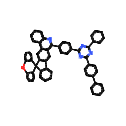 c1ccc(-c2ccc(-c3nc(-c4ccccc4)nc(-c4ccc(-c5nc6ccccc6c6cc7c(cc56)-c5ccccc5C75c6ccccc6Oc6ccccc65)cc4)n3)cc2)cc1